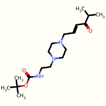 CC(C)C(=O)/C=C/CN1CCN(CCNC(=O)OC(C)(C)C)CC1